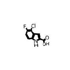 O=C(O)c1cc2c(Cl)c(F)ccc2[nH]1